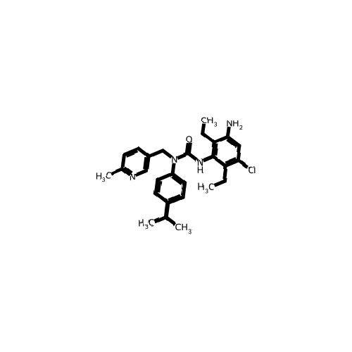 CCc1c(N)cc(Cl)c(CC)c1NC(=O)N(Cc1ccc(C)nc1)c1ccc(C(C)C)cc1